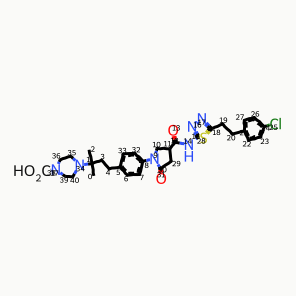 CC(C)(CCc1ccc(N2CC(C(=O)Nc3nnc(CCc4ccc(Cl)cc4)s3)CC2=O)cc1)N1CCN(C(=O)O)CC1